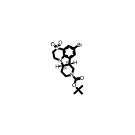 CC(C)(C)OC(=O)N1CC[C@H]2[C@@H](C1)c1cc(Br)cc3c1N2CCS3(=O)=O